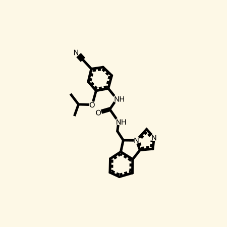 CC(C)Oc1cc(C#N)ccc1NC(=O)NCC1c2ccccc2-c2cncn21